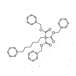 O=C(OCc1ccccc1)[Si](CCCCCCc1ccccc1)(C(=O)OCc1ccccc1)C(=O)OCc1ccccc1